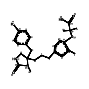 Cc1cc(CCCC2(Cc3ccc(Br)cc3)CNC(=O)N2C)ccc1OC(C)(C)C(=O)O